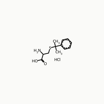 CC(C)(SCC(N)C(=O)O)c1ccccc1.Cl